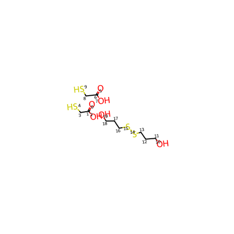 O=C(O)CS.O=C(O)CS.OCCCSSCCCO